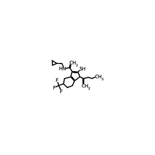 C=C(NCC1CC1)C1=C(S)C(C(=C)CCC)C2=C1CC(C(F)(F)F)CC2